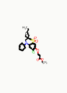 CCCCC1(CC)CN(c2ccccc2)c2cc(Cl)c(O/C=C/C(=O)OCC)cc2S(=O)(=O)C1